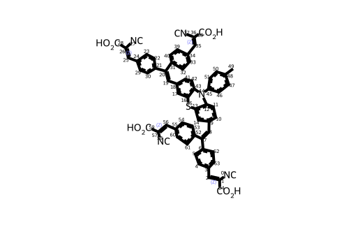 [C-]#[N+]/C(=C\c1ccc(C(=Cc2ccc3c(c2)Sc2cc(C=C(c4ccc(/C=C(\[N+]#[C-])C(=O)O)cc4)c4ccc(/C=C(\[N+]#[C-])C(=O)O)cc4)ccc2N3c2ccc(C)cc2)c2ccc(/C=C(\[N+]#[C-])C(=O)O)cc2)cc1)C(=O)O